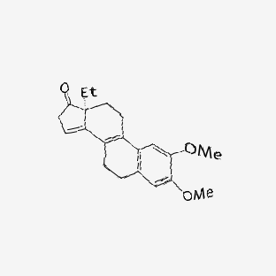 CC[C@]12CCC3=C(CCc4cc(OC)c(OC)cc43)C1=CCC2=O